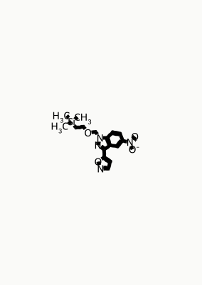 C[Si](C)(C)CCOCn1nc(-c2ccno2)c2cc([N+](=O)[O-])ccc21